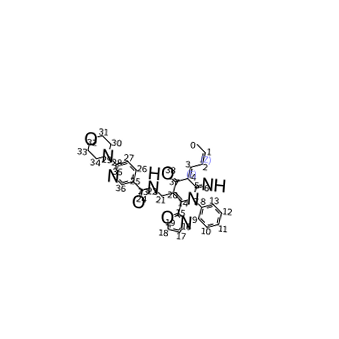 C/C=C\C=C1/C(=N)N(c2ccccc2)C(c2ncco2)=C(CNC(=O)c2ccc(N3CCOCC3)nc2)C1=O